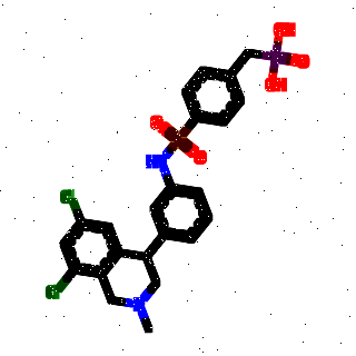 CN1Cc2c(Cl)cc(Cl)cc2C(c2cccc(NS(=O)(=O)c3ccc(CP(=O)(O)O)cc3)c2)C1